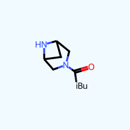 CCC(C)C(=O)N1CC2CC(C1)N2